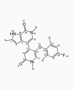 Cc1cc2c(-c3cc(=O)n(C)cc3Oc3c(C)cc(F)cc3C)cn(C)c(=O)c2[nH]1